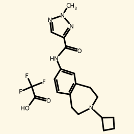 Cn1ncc(C(=O)Nc2ccc3c(c2)CCN(C2CCC2)CC3)n1.O=C(O)C(F)(F)F